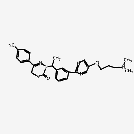 CC(c1cccc(-c2ncc(OCCCN(C)C)cn2)c1)N1N=C(c2ccc(C#N)cc2)CSC1=O